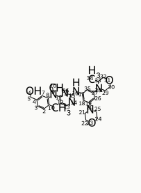 Cc1ccc(CO)cc1N(C)c1ccnc(Nc2cc(N3CCOCC3)cc(N3CCOCC3C)c2)n1